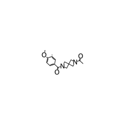 COc1[c]cc(C(=O)N2CC3(CN(C(C)=O)C3)C2)cc1